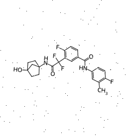 Cc1cc(NC(=O)c2ccc(F)c(C(F)(F)C(=O)NC34CCC(O)(CC3)C4)c2)ccc1F